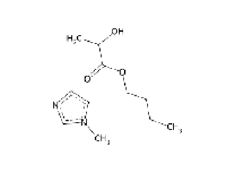 CCCCOC(=O)C(C)O.Cn1ccnc1